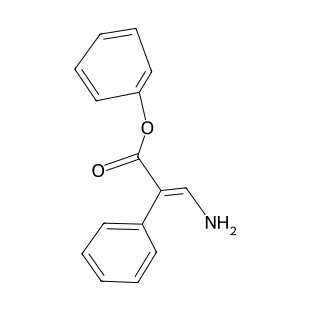 NC=C(C(=O)Oc1ccccc1)c1ccccc1